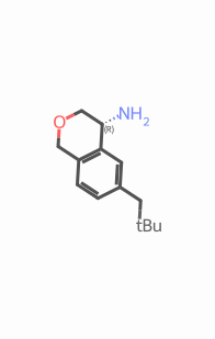 CC(C)(C)Cc1ccc2c(c1)[C@@H](N)COC2